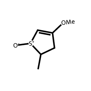 COC1=C[S+]([O-])C(C)C1